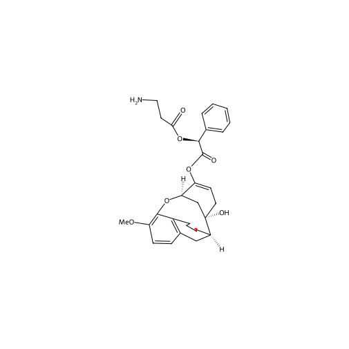 COc1ccc2c3c1O[C@@H]1C[C@@](O)(CC=C1OC(=O)[C@@H](OC(=O)CCN)c1ccccc1)[C@H](CCCC3)C2